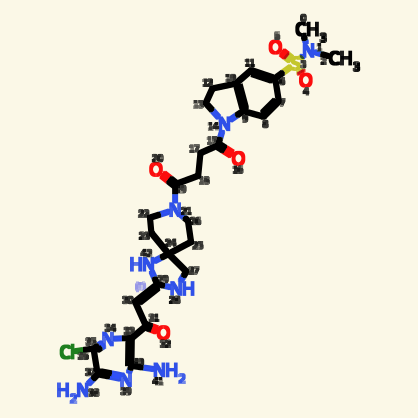 CN(C)S(=O)(=O)c1ccc2c(c1)CCN2C(=O)CCC(=O)N1CCC2(CC1)CN/C(=C\C(=O)c1nc(Cl)c(N)nc1N)N2